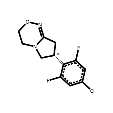 Fc1cc(Cl)cc(F)c1[C@H]1CC2=NOCCN2C1